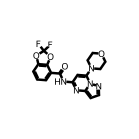 O=C(Nc1cc(N2CCOCC2)n2nccc2n1)c1cccc2c1OC(F)(F)O2